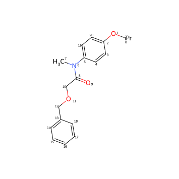 CC(C)Oc1ccc(N(C)C(=O)COCc2ccccc2)cc1